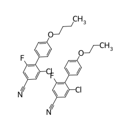 CCCCOc1ccc(-c2c(F)cc(C#N)cc2Cl)cc1.CCCOc1ccc(-c2c(F)cc(C#N)cc2Cl)cc1